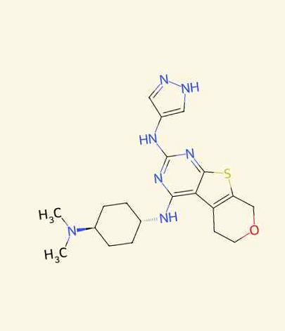 CN(C)[C@H]1CC[C@H](Nc2nc(Nc3cn[nH]c3)nc3sc4c(c23)CCOC4)CC1